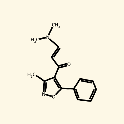 Cc1noc(-c2ccccc2)c1C(=O)/C=C/N(C)C